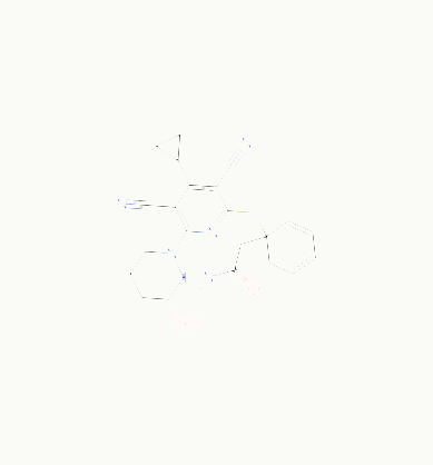 N#Cc1c(SC2(CC(N)=O)C=CC=CC2)nc(N2CCC[C@@H](O)C2)c(C#N)c1C1CC1